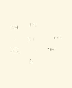 CCCNC(=N)NC(=N)N.Cl